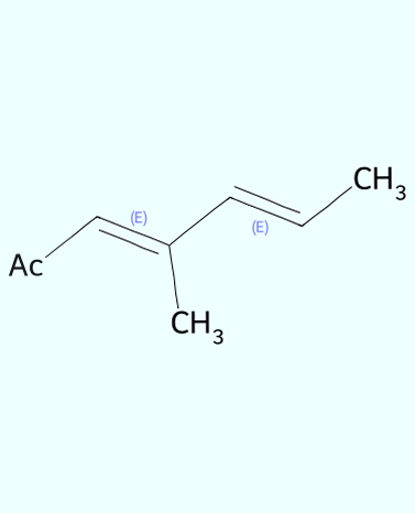 C/C=C/C(C)=C/C(C)=O